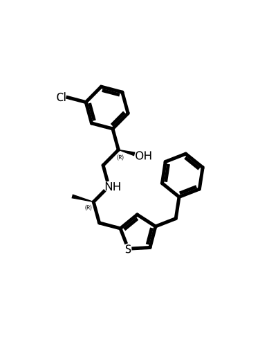 C[C@H](Cc1cc(Cc2ccccc2)cs1)NC[C@H](O)c1cccc(Cl)c1